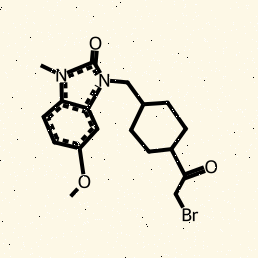 COc1ccc2c(c1)n(CC1CCC(C(=O)CBr)CC1)c(=O)n2C